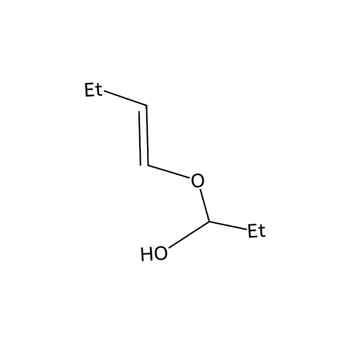 CCC=COC(O)CC